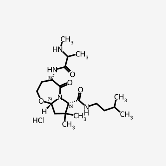 CNC(C)C(=O)N[C@H]1CCO[C@H]2CC(C)(C)[C@@H](C(=O)NCCC(C)C)N2C1=O.Cl